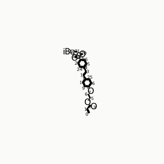 C=CC(=O)OCCOc1ccc(/C=C/c2ccc(S(=O)(=O)CC(C)CC)cc2)cc1